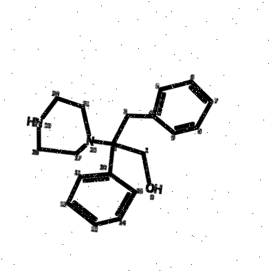 OCC(Cc1ccccc1)(c1ccccc1)N1CCNCC1